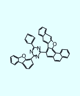 c1ccc(-c2nc(-c3cccc4c3oc3ccccc34)nc(-c3cc4ccc5ccccc5c4c4oc5cc6ccccc6cc5c34)n2)cc1